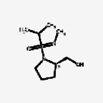 CN=S(=O)(C(C)C)N1CCC[C@@H]1CO